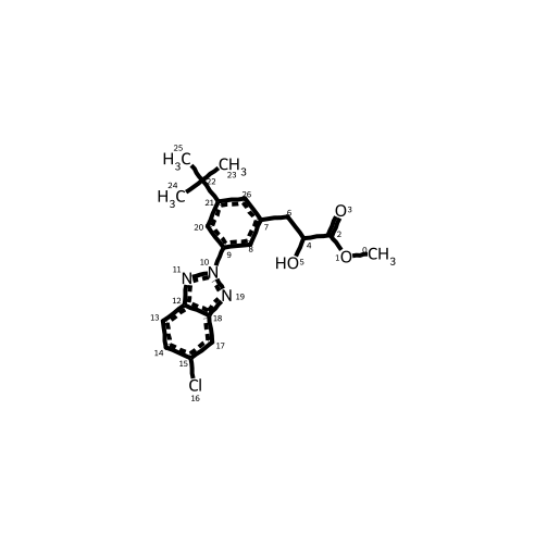 COC(=O)C(O)Cc1cc(-n2nc3ccc(Cl)cc3n2)cc(C(C)(C)C)c1